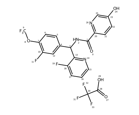 O=C(NC(c1ccc(OC(F)(F)F)c(F)c1)c1ncccc1F)c1ccc(O)cn1.O=C(O)C(F)(F)F